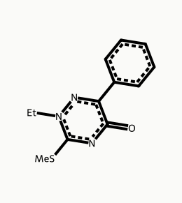 CCn1nc(-c2ccccc2)c(=O)nc1SC